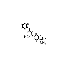 Cl.N=C(N)c1ccc(/C=C/C=C/c2ccccc2)cc1